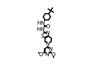 COc1cc(N2CCc3nc(NC(=O)NC4CCC(C(C)(C)C)CC4)sc3C2)nc(OC)n1